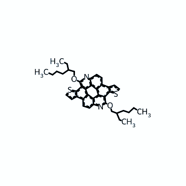 CCCCC(CC)COc1nc2ccc3c4ccsc4c4c(OCC(CC)CCCC)nc5ccc6c7ccsc7c1c1c2c3c4c5c61